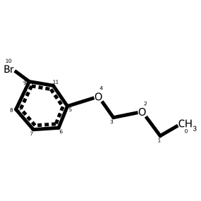 CCOCOc1cccc(Br)c1